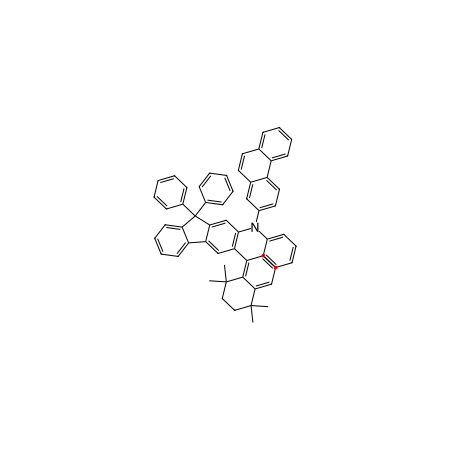 CC1(C)CCC(C)(C)c2c(-c3cc4c(cc3N(c3ccccc3)c3ccc5c(ccc6ccccc65)c3)C(c3ccccc3)(c3ccccc3)c3ccccc3-4)cccc21